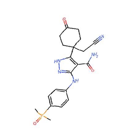 CP(C)(=O)c1ccc(Nc2n[nH]c(C3(CC#N)CCC(=O)CC3)c2C(N)=O)cc1